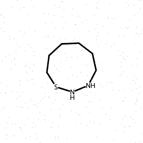 C1CCCSNNCC1